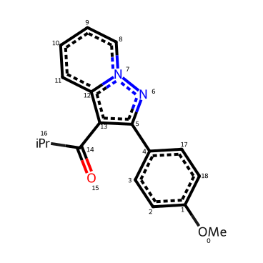 COc1ccc(-c2nn3ccccc3c2C(=O)C(C)C)cc1